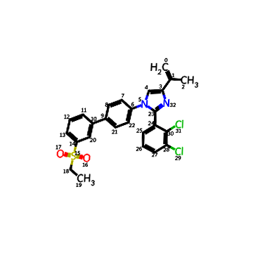 C=C(C)c1cn(-c2ccc(-c3cccc(S(=O)(=O)CC)c3)cc2)c(-c2cccc(Cl)c2Cl)n1